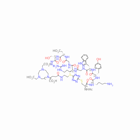 CC(=O)N[C@@H](CSc1nnc(SCCNC(=O)CC[C@@H](C(=O)O)N2CCN(CC(=O)O)CCN(CC(=O)O)CC2)nn1)C(=O)N[C@@H](CCCCN)C(=O)N[C@@H](Cc1ccc(O)cc1)C(=O)N[C@@H](Cc1c[nH]c2ccccc12)C(=O)NCC(=O)N[C@@H](CCCNC(=N)N)C(=O)NCC(=O)N[C@@H](CC(=O)O)C(=O)N[C@@H](CO)C(N)=O